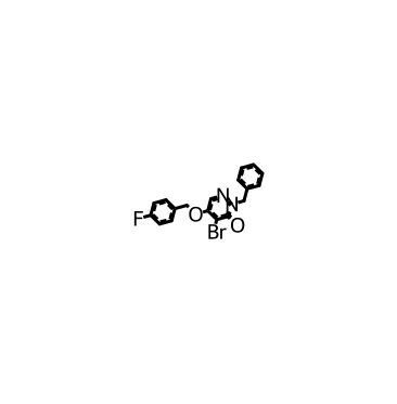 O=c1c(Br)c(OCc2ccc(F)cc2)cnn1Cc1ccccc1